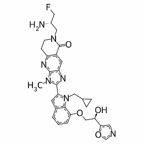 Cn1c(-c2cc3cccc(OC[C@@H](O)c4cnco4)c3n2CC2CC2)nc2cc3c(nc21)CCN(C[C@H](N)CF)C3=O